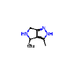 Cc1[nH]nc2c1C(C(C)(C)C)NC2